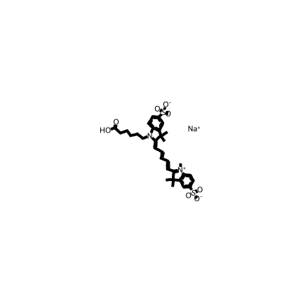 C[N+]1=C(/C=C/C=C/C=C2/N(CCCCCC(=O)O)c3ccc(S(=O)(=O)[O-])cc3C2(C)C)C(C)(C)c2cc(S(=O)(=O)[O-])ccc21.[Na+]